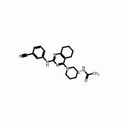 CC(=O)N[C@@H]1CCCN(c2nc(Nc3cccc(C#N)c3)nc3c2CCCC3)C1